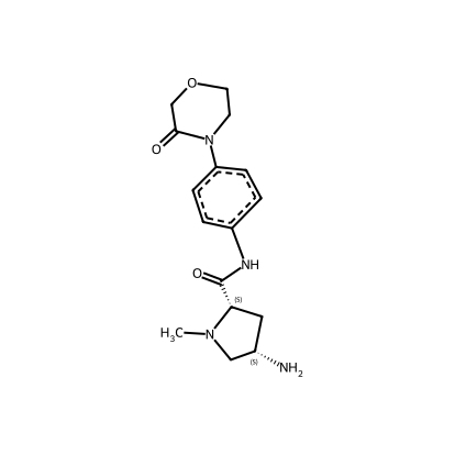 CN1C[C@@H](N)C[C@H]1C(=O)Nc1ccc(N2CCOCC2=O)cc1